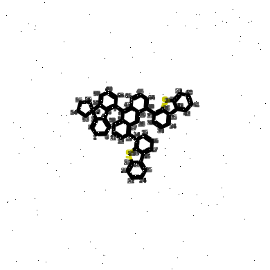 c1ccc2c(c1)-c1c(-c3c4cccc(-c5cccc6c5sc5ccccc56)c4cc4c(-c5cccc6c5sc5ccccc56)cccc34)cccc1C21CCCC1